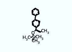 C/C=C(/O[Si](C)(C)C)c1ccc(-c2ccccc2)cc1